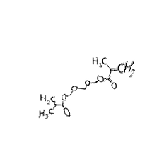 C=C(C)C(=O)OCOCOCOC(=O)C(=C)C